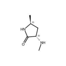 CN[C@H]1C[C@H](C)NC1=O